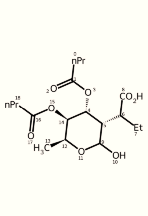 CCCC(=O)O[C@@H]1[C@H](C(CC)C(=O)O)C(O)O[C@@H](C)[C@H]1OC(=O)CCC